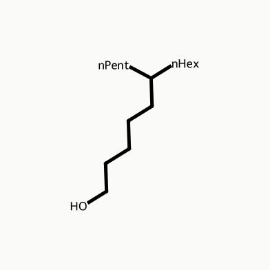 CCCCCCC(CCCCC)CCCCCO